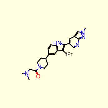 CC(C)c1c(-c2cnc3nn(C)cc3c2)[nH]c2ccc(C3CCN(C(=O)CN(C)C)CC3)cc12